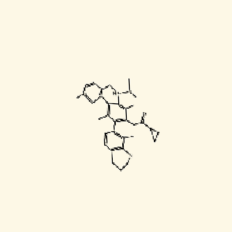 Cc1ccc2c(c1)-c1c(C)c(-c3ccc4c(c3C)NCCC4)c(CC(=O)C3CC3)c(C)c1[SH](N(C)C)C2